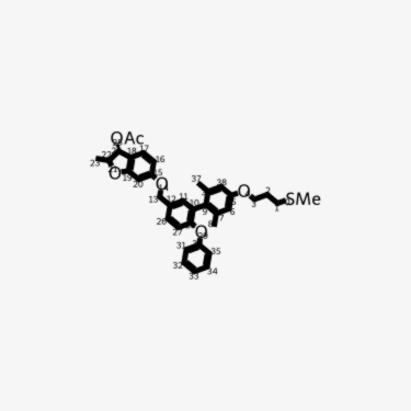 CSCCCOc1cc(C)c(-c2cc(COc3ccc4c(c3)OC(C)[C@H]4OC(C)=O)ccc2Oc2ccccc2)c(C)c1